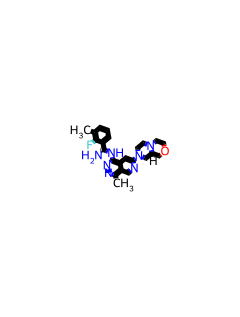 Cc1cccc([C@@H](N)Nc2nnc(C)c3cnc(N4CCN5CCOC[C@@H]5C4)cc23)c1F